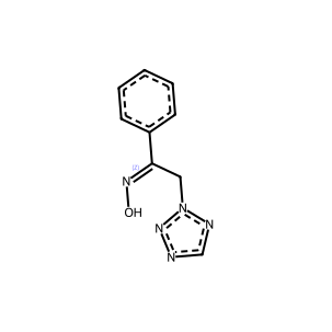 O/N=C(\Cn1ncnn1)c1ccccc1